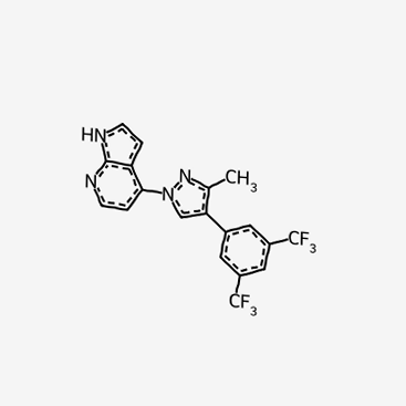 Cc1nn(-c2ccnc3[nH]ccc23)cc1-c1cc(C(F)(F)F)cc(C(F)(F)F)c1